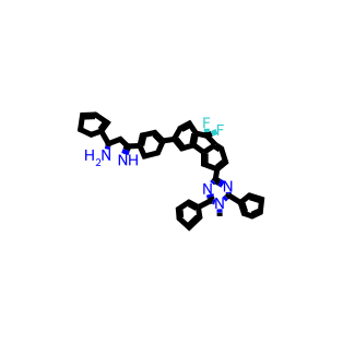 CN1C(c2ccccc2)=NC(c2ccc3c(c2)-c2cc(C4=CC=C(C(=N)CC(N)C5=CC=CCC5)CC4)ccc2C3(F)F)=NC1c1ccccc1